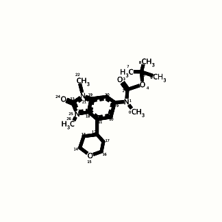 CN(C(=O)OC(C)(C)C)c1cc(C2CCOCC2)c2c(c1)n(C)c(=O)n2C